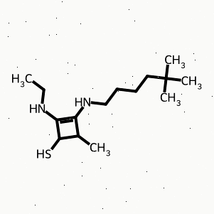 CCNC1=C(NCCCCC(C)(C)C)C(C)C1S